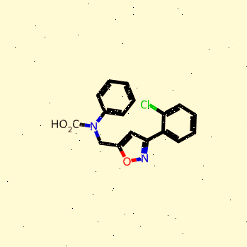 O=C(O)N(Cc1cc(-c2ccccc2Cl)no1)c1ccccc1